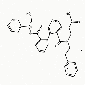 O=C(O)CCN(CCc1ccccc1)C(=O)c1ccccc1-c1ccccc1C(=O)N[C@H](CO)c1ccccc1